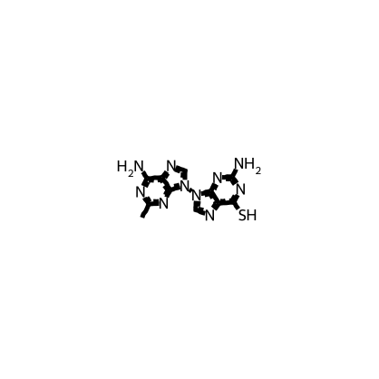 Cc1nc(N)c2ncn(-n3cnc4c(S)nc(N)nc43)c2n1